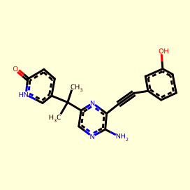 CC(C)(c1ccc(=O)[nH]c1)c1cnc(N)c(C#Cc2cccc(O)c2)n1